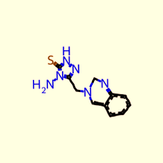 Nn1c(CN2C=c3ccccc3=NC2)n[nH]c1=S